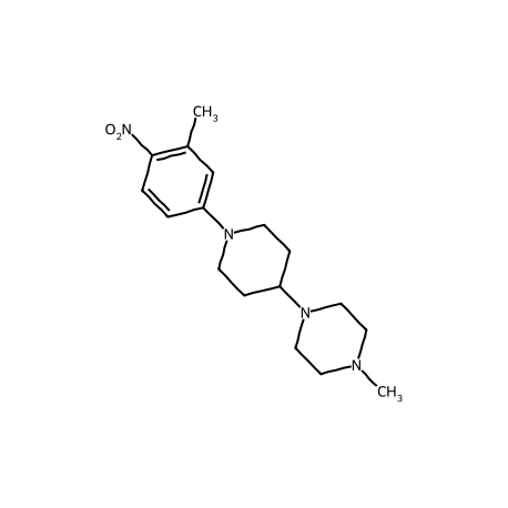 Cc1cc(N2CCC(N3CCN(C)CC3)CC2)ccc1[N+](=O)[O-]